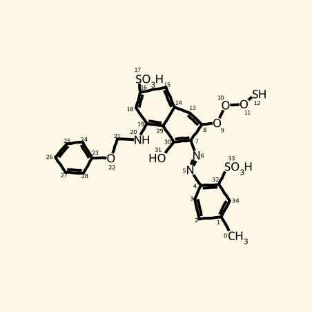 Cc1ccc(N=Nc2c(OOOS)cc3cc(S(=O)(=O)O)cc(NCOc4ccccc4)c3c2O)c(S(=O)(=O)O)c1